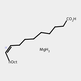 CCCCCCCC/C=C\CCCCCCCC(=O)O.[MgH2]